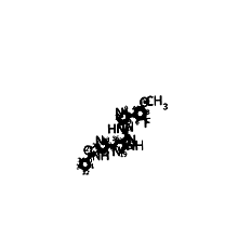 COc1cc(F)cc(-c2cncc3[nH]c(-c4n[nH]c5cnc(-c6cncc(NC(=O)C7CCCC7)c6)cc45)nc23)c1